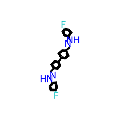 Fc1ccc(N/N=C/c2ccc(-c3ccc(/C=N/Nc4ccc(F)cc4)cc3)cc2)cc1